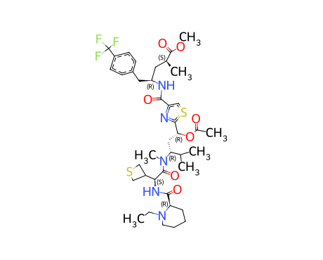 CCN1CCCC[C@@H]1C(=O)N[C@H](C(=O)N(C)[C@H](C[C@@H](OC(C)=O)c1nc(C(=O)N[C@@H](Cc2ccc(C(F)(F)F)cc2)C[C@H](C)C(=O)OC)cs1)C(C)C)C1CSC1